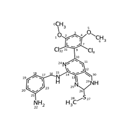 COc1cc(OC)c(Cl)c(-c2cc3c(c(NCc4cccc(N)c4)n2)=NC(SC)NC=3)c1Cl